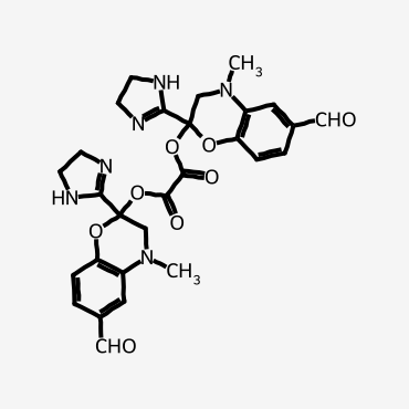 CN1CC(OC(=O)C(=O)OC2(C3=NCCN3)CN(C)c3cc(C=O)ccc3O2)(C2=NCCN2)Oc2ccc(C=O)cc21